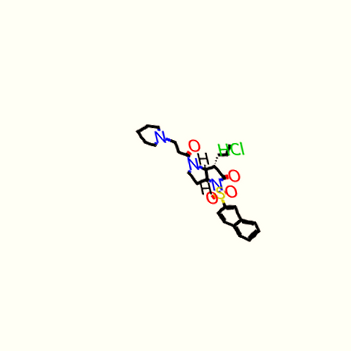 CCC[C@@H]1C(=O)N(S(=O)(=O)c2ccc3ccccc3c2)[C@@H]2CCN(C(=O)CCN3CCCCC3)[C@@H]12.Cl